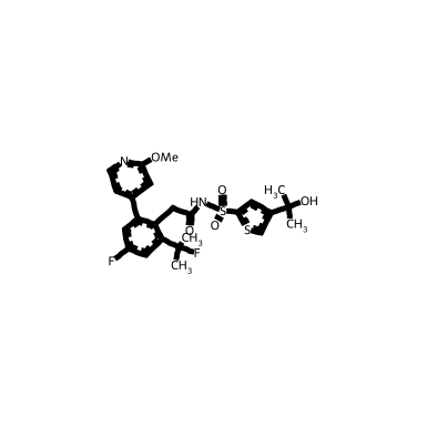 COc1cc(-c2cc(F)cc(C(C)(C)F)c2CC(=O)NS(=O)(=O)c2cc(C(C)(C)O)cs2)ccn1